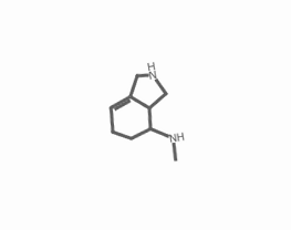 CNC1CCC=C2CNCC21